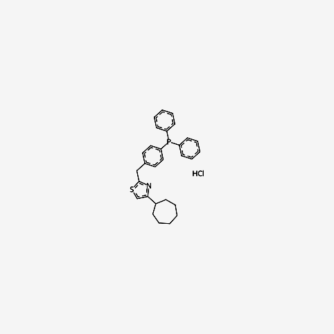 Cl.c1ccc(P(c2ccccc2)c2ccc(Cc3nc(C4CCCCCC4)cs3)cc2)cc1